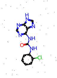 O=C(Nc1ccccc1Cl)Nc1ncnc2[nH]cnc12